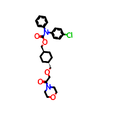 O=C(COC[C@H]1CC[C@H](COC(=O)N(c2ccccc2)c2ccc(Cl)cc2)CC1)N1CCOCC1